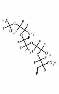 O=C(O)C(F)(CF)C(F)(F)OC(F)(C(F)(F)F)C(F)(F)OC(F)(C(F)(F)F)C(F)(F)OC(F)(C(F)(F)F)C(F)(F)OC(F)(C(F)(F)F)C(F)(F)F